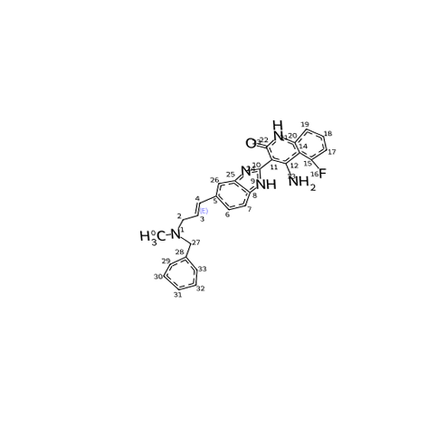 CN(C/C=C/c1ccc2[nH]c(-c3c(N)c4c(F)cccc4[nH]c3=O)nc2c1)Cc1ccccc1